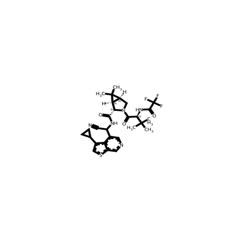 CC(C)(C)[C@H](NC(=O)C(F)(F)F)C(=O)N1C[C@H]2[C@@H]([C@H]1C(=O)NC(C#N)c1cncc3scc(C4CC4)c13)C2(C)C